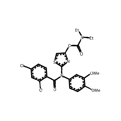 CCN(CC)C(=O)Oc1csc(N(C(=O)c2ccc(Cl)cc2Cl)c2ccc(OC)c(OC)c2)n1